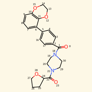 O=C(c1ccc(-c2cccc3c2OCCO3)cc1)N1CCN(C(=O)C2CCCO2)CC1